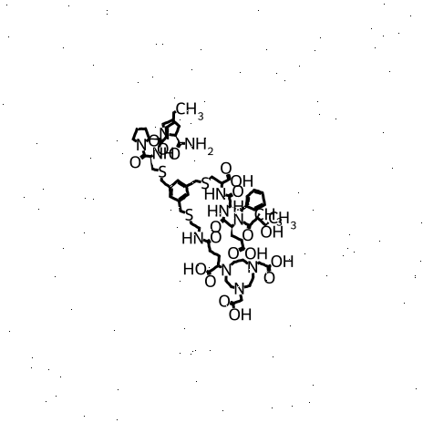 CCCCCC(=O)N[C@@H](CSCc1cc(CSCCNC(=O)CCC(C(=O)O)N2CCN(CC(=O)O)CCN(CC(=O)O)CC2)cc(CSCC(NC(=O)[C@H](Cc2ccccc2)NC(=O)[C@H](CCC(=O)O)NC(=O)[C@@H](C)[C@@H](C)O)C(=O)O)c1)C(=O)N1CCC[C@H]1C(=O)N1CCC[C@H]1C(N)=O